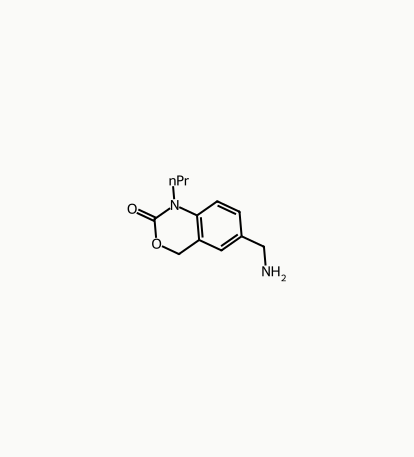 CCCN1C(=O)OCc2cc(CN)ccc21